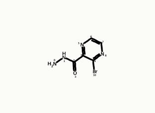 NNC(=O)c1nccnc1Br